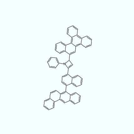 C1=C(c2ccc(-c3c4ccccc4cc4c3ccc3ccccc34)c3ccccc23)N(c2ccccc2)C1c1cc2c3ccccc3c3ccccc3c2c2ccccc12